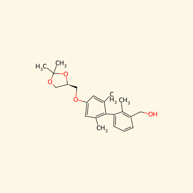 Cc1cc(OC[C@H]2COC(C)(C)O2)cc(C)c1-c1cccc(CO)c1C